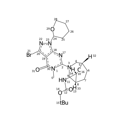 Cn1c(N2C[C@@H]3CC[C@H](C2)[C@H](NC(=O)OC(C)(C)C)C3)nc2c(c(Br)nn2C2CCCCO2)c1=O